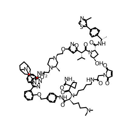 Cc1ncsc1-c1ccc([C@H](C)NC(=O)[C@@H]2C[C@@H](O)CN2C(=O)[C@@H](c2cc(OCCN3CCN(CCOc4cc(N5C6CCC5CN(c5cc(-c7ccccc7OCc7ccc(NC(=O)[C@H](CCCCN(C)C)N(CCCCCNC(=O)CN8C(=O)C=CC8=O)C(=O)C8(C(N)=O)CCC8)cc7)nnc5N)C6)ccn4)[C@H](C)C3)no2)C(C)C)cc1